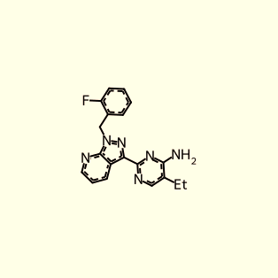 CCc1cnc(-c2nn(Cc3ccccc3F)c3ncccc23)nc1N